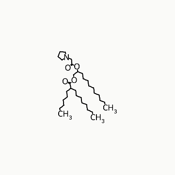 CCCCCCCCCCC(COC(=O)C(CCCCCC)CCCCCCCC)OC(=O)CN1CCCC1